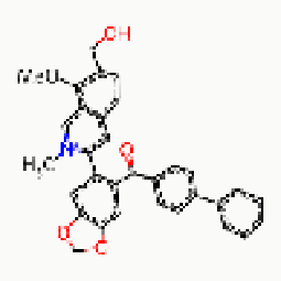 COc1c(CO)ccc2cc(-c3cc4c(cc3C(=O)c3ccc(-c5ccccc5)cc3)OCO4)[n+](C)cc12